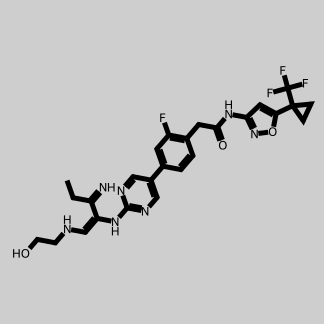 CCC(=N)/C(=C\NCCO)Nc1ncc(-c2ccc(CC(=O)Nc3cc(C4(C(F)(F)F)CC4)on3)c(F)c2)cn1